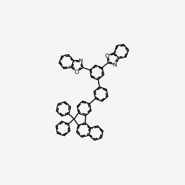 c1ccc(C2(c3ccccc3)c3ccc(-c4cccc(-c5cc(-c6nc7ccccc7o6)cc(-c6nc7ccccc7o6)c5)c4)cc3-c3c2ccc2ccccc32)cc1